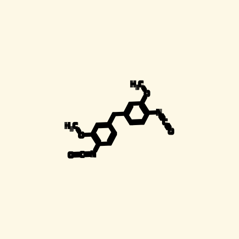 COc1cc(Cc2ccc(N=C=O)c(OC)c2)ccc1N=C=O